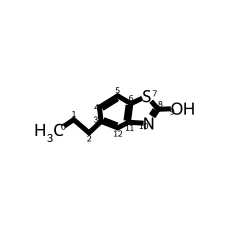 CCCc1ccc2sc(O)nc2c1